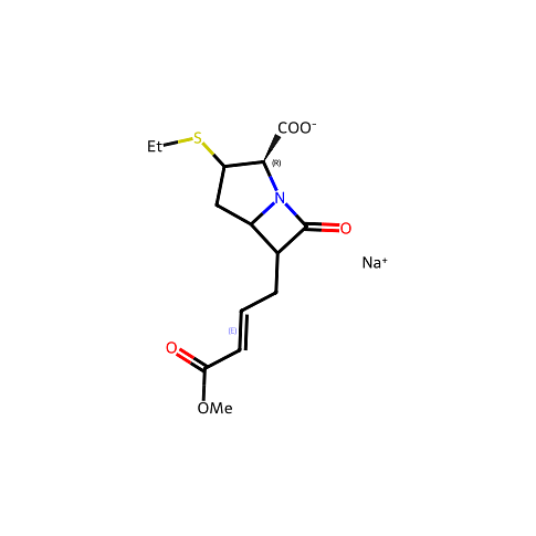 CCSC1CC2C(C/C=C/C(=O)OC)C(=O)N2[C@@H]1C(=O)[O-].[Na+]